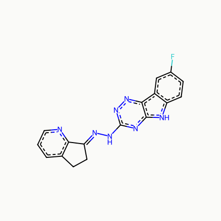 Fc1ccc2[nH]c3nc(N/N=C4\CCc5cccnc54)nnc3c2c1